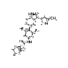 Cn1cc(-c2n[nH]c3cnc(-c4c(F)cc(NC(=O)CN5C6CCC5CC6)cc4F)cc23)cn1